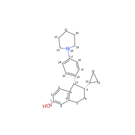 Oc1ccc2c(c1)CC[C@@H](C1CC1)[C@H]2c1ccc(N2CCCCC2)cc1